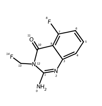 Nc1nc2cccc(F)c2c(=O)n1CF